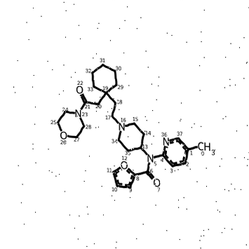 Cc1ccc(N(C(=O)c2ccco2)C2CCN(CCC3(CC(=O)N4CCOCC4)CCCCC3)CC2)nc1